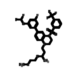 CSCCOC(C)CCN1CCN(S(=O)(=O)c2cccc(C(F)(F)F)c2)c2cc(-c3cc(F)cc(OC(F)F)c3)ccc21